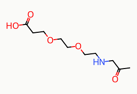 CC(=O)CNCCOCCOCCC(=O)O